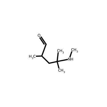 CNC(C)(C)CC(C)C=O